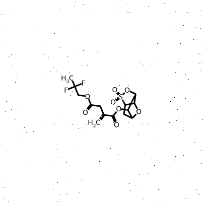 C=C(CC(=O)OCC(C)(F)F)C(=O)OC1C2CC3C(O2)C1OS3(=O)=O